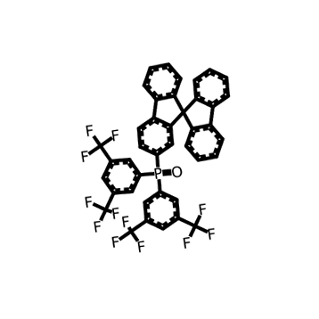 O=P(c1cc(C(F)(F)F)cc(C(F)(F)F)c1)(c1cc(C(F)(F)F)cc(C(F)(F)F)c1)c1ccc2c(c1)C1(c3ccccc3-c3ccccc31)c1ccccc1-2